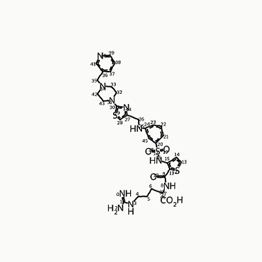 N=C(N)NCCC[C@H](NC(=O)c1sccc1NS(=O)(=O)c1cccc(NCc2csc(N3CCN(Cc4cccnc4)CC3)n2)c1)C(=O)O